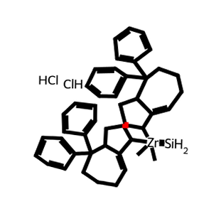 Cl.Cl.[CH3][Zr]([CH3])(=[SiH2])([CH]1CCC2C1=CCCCC2(c1ccccc1)c1ccccc1)[CH]1CCC2C1=CCCCC2(c1ccccc1)c1ccccc1